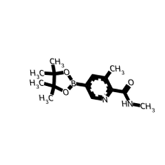 CNC(=O)c1ncc(B2OC(C)(C)C(C)(C)O2)cc1C